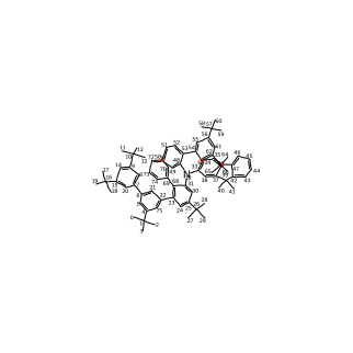 CC(C)(C)c1cc(-c2cc(C(C)(C)C)cc(C(C)(C)C)c2)cc(-c2cc(C(C)(C)C)cc(N(c3ccc4c(c3)C(C)(C)c3ccccc3-4)c3ccccc3-c3cc(C(C)(C)C)cc(C(C)(C)C)c3)c2-c2ccccc2)c1